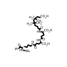 CC(C)C(=O)[C@H](CCCCNC(=O)CC[C@H](NC(=O)CC[C@H](NC(=O)CCCC(C)(C)CC(C)(C)CCC(=O)O)C(=O)O)C(=O)O)NC(C)(C)C